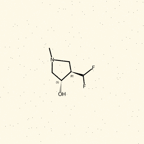 CN1C[C@@H](O)[C@H](C(F)F)C1